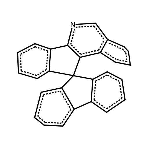 c1ccc2c(c1)-c1ccccc1C21c2ccccc2-c2ncc3ccccc3c21